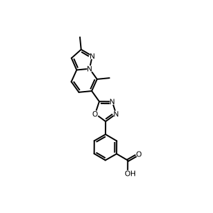 Cc1cc2ccc(-c3nnc(-c4cccc(C(=O)O)c4)o3)c(C)n2n1